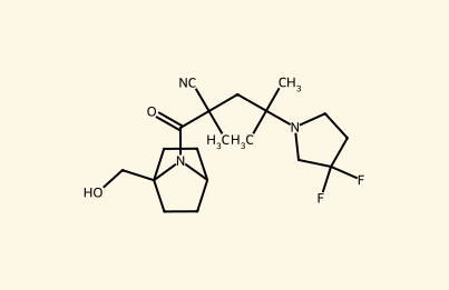 CC(C#N)(CC(C)(C)N1CCC(F)(F)C1)C(=O)N1C2CCC1(CO)CC2